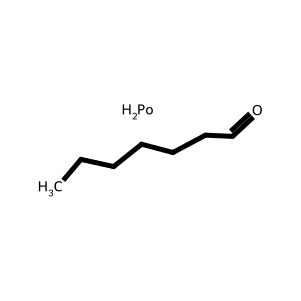 CCCCCCC=O.[PoH2]